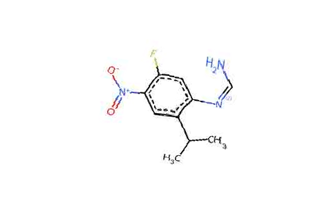 CC(C)c1cc([N+](=O)[O-])c(F)cc1/N=C\N